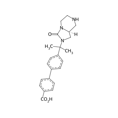 CC(C)(c1ccc(-c2ccc(C(=O)O)cc2)cc1)N1C[C@@H]2CNCCN2C1=O